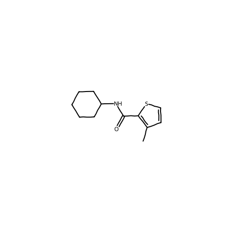 Cc1ccsc1C(=O)NC1CCCCC1